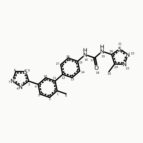 Cc1ccc(-c2nncs2)cc1-c1ccc(NC(=O)Nc2snnc2C)cc1